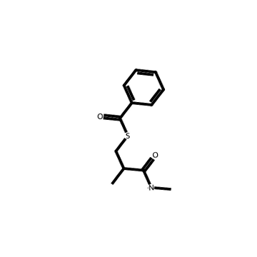 C[N]C(=O)C(C)CSC(=O)c1ccccc1